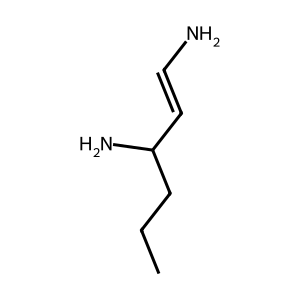 CCCC(N)C=CN